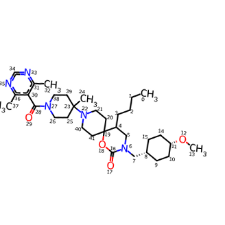 CCCCC1CN(C[C@H]2CC[C@@H](OC)CC2)C(=O)OC12CCN(C1(C)CCN(C(=O)c3c(C)ncnc3C)CC1)CC2